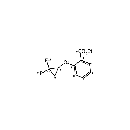 CCOC(=O)c1ccccc1OC1CC1(F)F